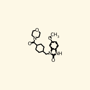 COc1ccc2[nH]c(=O)n(CC3CCC(C(=O)N4CCOCC4)CC3)c2c1